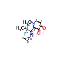 Cn1ccc(=O)c(O)c1C(NC1CC1)C(C)(F)F